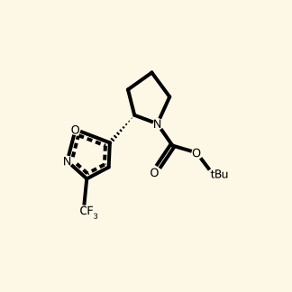 CC(C)(C)OC(=O)N1CCC[C@H]1c1cc(C(F)(F)F)no1